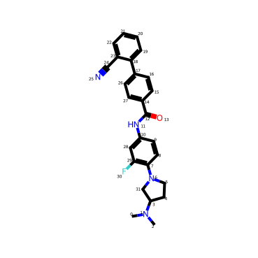 CN(C)C1CCN(c2ccc(NC(=O)c3ccc(-c4ccccc4C#N)cc3)cc2F)C1